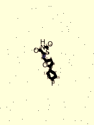 O=C1NC(=O)/C(=C/c2ccc(-c3ccc(F)cc3)o2)S1